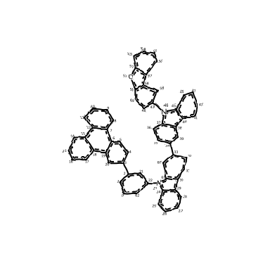 c1cc(-c2ccc3c4ccccc4c4ccccc4c3c2)cc(-n2c3ccccc3c3ccc(-c4ccc5c(c4)c4ccccc4n5-c4ccc5oc6ccccc6c5c4)cc32)c1